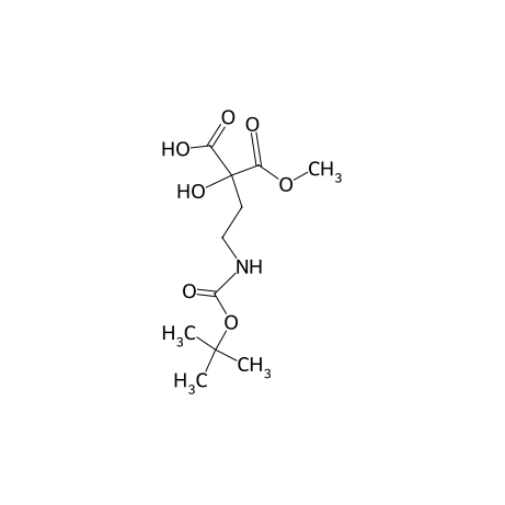 COC(=O)C(O)(CCNC(=O)OC(C)(C)C)C(=O)O